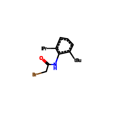 CC(C)c1cccc(C(C)(C)C)c1NC(=O)CBr